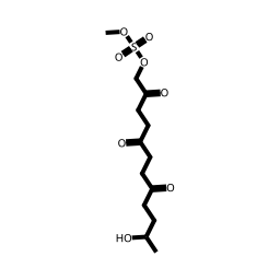 COS(=O)(=O)OCC(=O)CCC(=O)CCC(=O)CCC(C)O